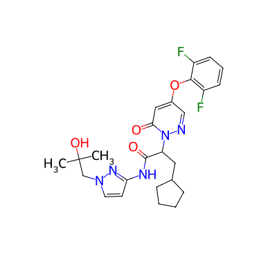 CC(C)(O)Cn1ccc(NC(=O)C(CC2CCCC2)n2ncc(Oc3c(F)cccc3F)cc2=O)n1